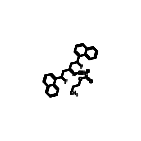 CCCO[SH](=O)=O.ON=C(CC(F)c1cccc2ccccc12)CC(F)c1cccc2ccccc12